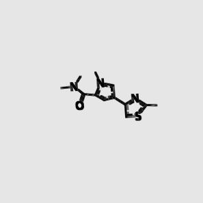 Cc1nc(-c2cc(C(=O)N(C)C)n(C)c2)cs1